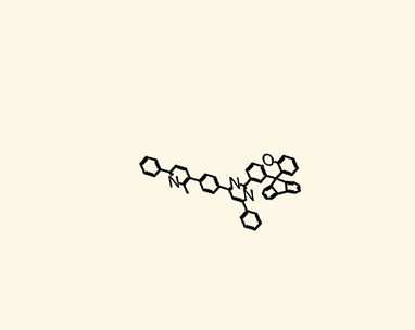 Cc1nc(-c2ccccc2)ccc1-c1ccc(-c2cc(-c3ccccc3)nc(-c3ccc4c(c3)C3(c5ccccc5O4)c4ccccc4-c4ccccc43)n2)cc1